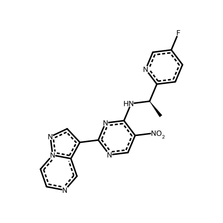 C[C@@H](Nc1nc(-c2cnn3ccncc23)ncc1[N+](=O)[O-])c1ccc(F)cn1